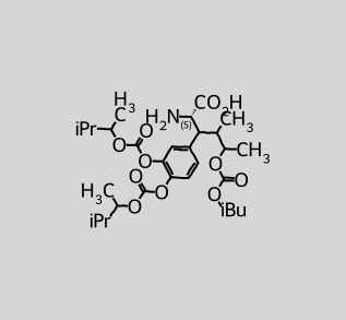 CCC(C)OC(=O)OC(C)C(C)C(c1ccc(OC(=O)OC(C)C(C)C)c(OC(=O)OC(C)C(C)C)c1)[C@H](N)C(=O)O